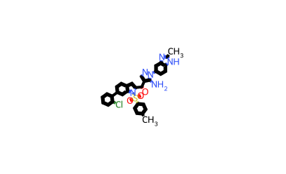 Cc1ccc(S(=O)(=O)n2c(C(=O)c3cnn(-c4ccc5[nH]c(C)nc5c4)c3N)cc3ccc(-c4ccccc4Cl)cc32)cc1